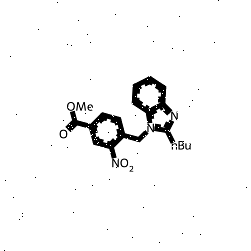 CCCCc1nc2ccccc2n1Cc1ccc(C(=O)OC)cc1[N+](=O)[O-]